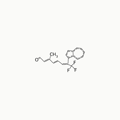 CC(/C=C/C=C(\c1ccc2cccccc1-2)C(F)(F)F)=C\C=O